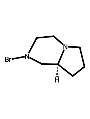 BrN1CCN2CCC[C@H]2C1